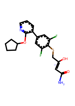 NC(=O)/C=C(\O)CSc1c(F)cc(-c2cccnc2OC2CCCC2)cc1F